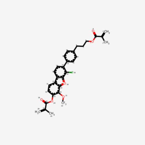 C=C(C)C(=O)OCCCc1ccc(-c2ccc3c(oc4c(OC(F)(F)F)c(OC(=O)C(=C)C)ccc43)c2F)cc1